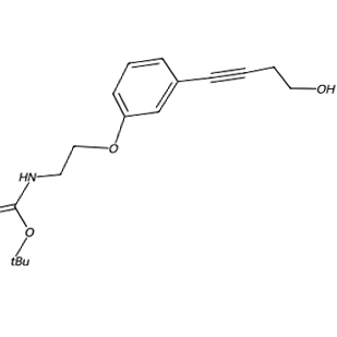 CC(C)(C)OC(=O)NCCOc1cccc(C#CCCO)c1